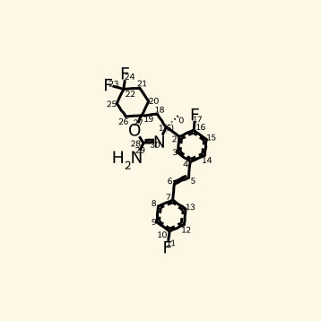 C[C@@]1(c2cc(C=Cc3ccc(F)cc3)ccc2F)CC2(CCC(F)(F)CC2)OC(N)=N1